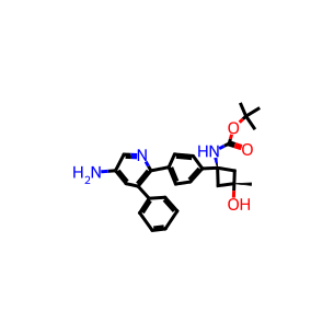 CC(C)(C)OC(=O)N[C@]1(c2ccc(-c3ncc(N)cc3-c3ccccc3)cc2)C[C@@](C)(O)C1